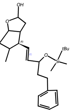 CC1CC2OC(O)CC2[C@H]1/C=C/C(CCc1ccccc1)O[Si](C)(C)C(C)(C)C